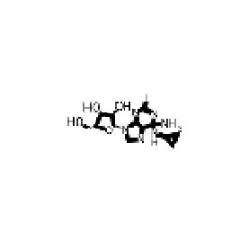 NC1(NC2CC2)N=C(I)N=C2C1=NCN2[C@@H]1O[C@H](CO)[C@@H](O)[C@H]1O